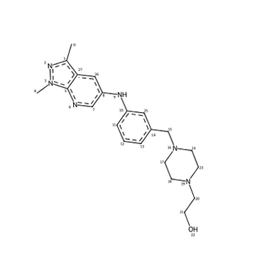 Cc1nn(C)c2ncc(Nc3cccc(CN4CCN(CCO)CC4)c3)cc12